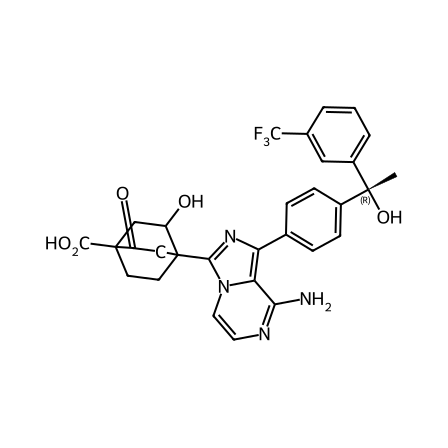 C[C@@](O)(c1ccc(-c2nc(C34CCC(C(=O)O)(CC3O)C(=O)C4)n3ccnc(N)c23)cc1)c1cccc(C(F)(F)F)c1